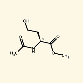 COC(=O)[C@H](CCO)NC(C)=O